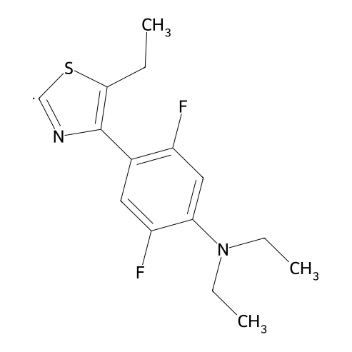 CCc1s[c]nc1-c1cc(F)c(N(CC)CC)cc1F